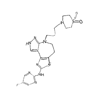 O=S1(=O)CCN(CCCN2CCc3sc(Nc4ncc(F)cn4)nc3-c3c[nH]nc32)CC1